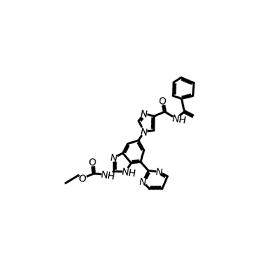 C=C(NC(=O)c1cn(-c2cc(-c3ncccn3)c3[nH]c(NC(=O)OCC)nc3c2)cn1)c1ccccc1